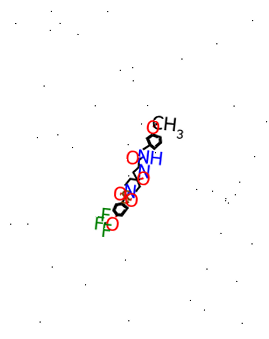 COc1cccc(CNC(=O)C2=NOC3(CCN(S(=O)(=O)c4ccc(OC(F)(F)F)cc4)CC3)C2)c1